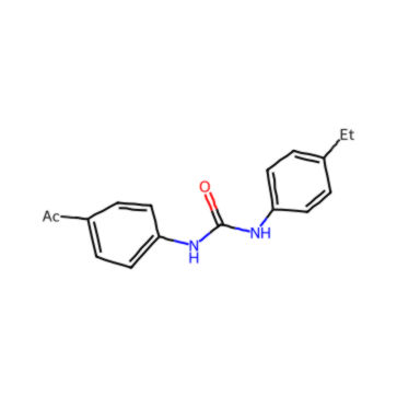 CCc1ccc(NC(=O)Nc2ccc(C(C)=O)cc2)cc1